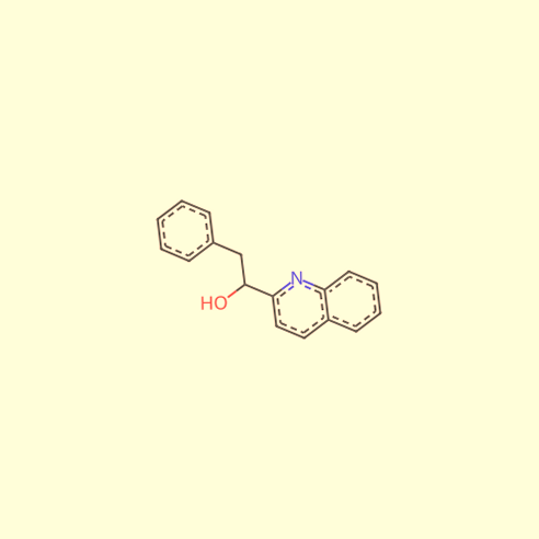 OC(Cc1ccccc1)c1ccc2ccccc2n1